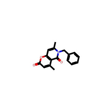 Cc1cc(=O)oc2cc(C)n(Cc3ccccc3)c(=O)c12